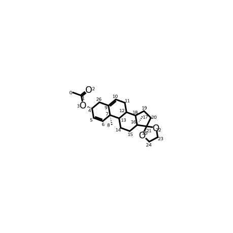 CC(=O)O[C@H]1C=C[C@@]2(C)C(=CCC3C2CC[C@@]2(C)C3CCC23OCCO3)C1